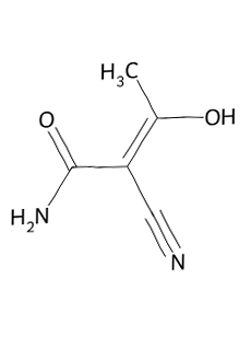 CC(O)=C(C#N)C(N)=O